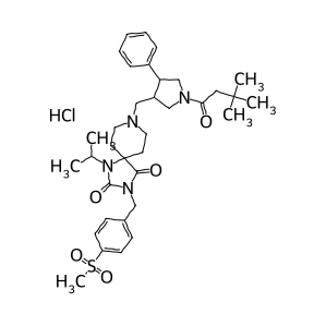 CC(C)N1C(=O)N(Cc2ccc(S(C)(=O)=O)cc2)C(=O)C12CCN(CC1CN(C(=O)CC(C)(C)C)CC1c1ccccc1)CC2.Cl